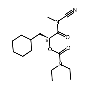 CCN(CC)C(=O)O[C@@H](CC1CCCCC1)C(=O)N(C)C#N